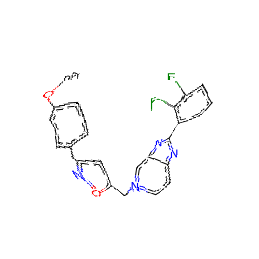 CCCOc1ccc(-c2cc(Cn3ccc4nc(-c5cccc(F)c5F)nc-4c3)on2)cc1